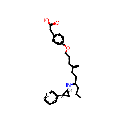 C=C(CCCOc1ccc(CC(=O)O)cc1)CCC(CCC)N[C@@H]1C[C@H]1c1ccccc1